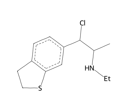 CCNC(C)C(Cl)c1ccc2c(c1)SCC2